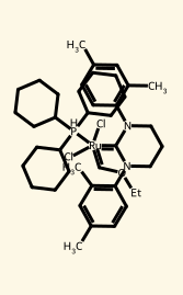 CCO[CH]=[Ru]([Cl])([Cl])(=[C]1N(c2ccc(C)cc2C)CCCN1c1ccc(C)cc1C)[PH](C1CCCCC1)(C1CCCCC1)C1CCCCC1